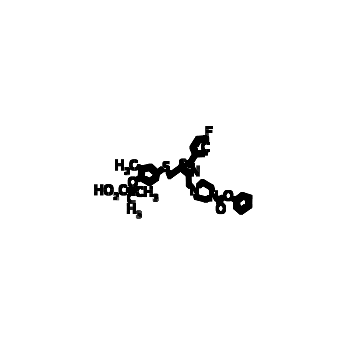 Cc1cc(SCc2sc(-c3ccc(F)cc3)nc2CN2CCN(C(=O)Oc3ccccc3)CC2)ccc1OC(C)(C)C(=O)O